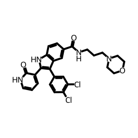 O=C(NCCCN1CCOCC1)c1ccc2[nH]c(-c3ccc[nH]c3=O)c(-c3ccc(Cl)c(Cl)c3)c2c1